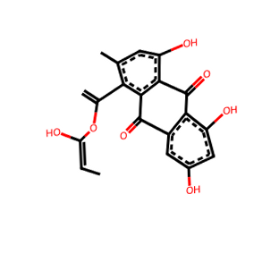 C=C(O/C(O)=C\C)c1c(C)cc(O)c2c1C(=O)c1cc(O)cc(O)c1C2=O